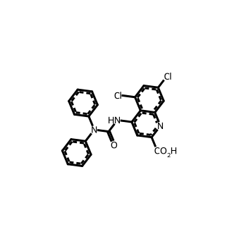 O=C(O)c1cc(NC(=O)N(c2ccccc2)c2ccccc2)c2c(Cl)cc(Cl)cc2n1